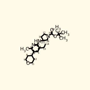 Cc1nc2c(cc1C1CCOCC1)CC[C@@]1(CCN(C(=O)OC(C)(C)C)C1)N2